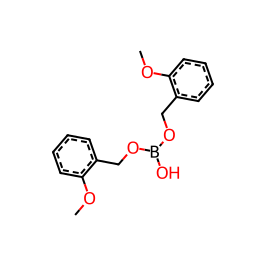 COc1ccccc1COB(O)OCc1ccccc1OC